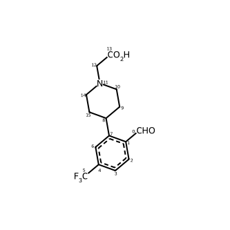 O=Cc1ccc(C(F)(F)F)cc1C1CCN(CC(=O)O)CC1